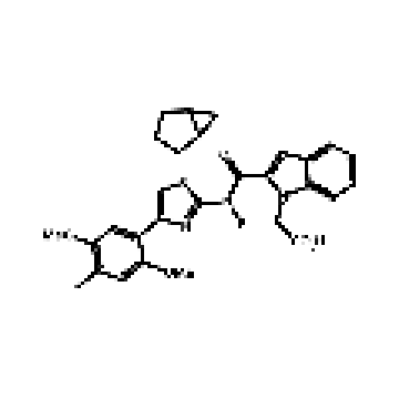 C1CC2CC2C1.CCN(C(=O)c1cc2ccccc2n1CC(=O)O)c1nc(-c2cc(OC)c(C)cc2OC)cs1